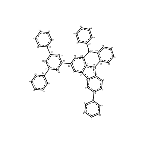 c1ccc(-c2ccc3c(c2)c2cc(-c4nc(-c5ccccc5)nc(-c5ccccc5)n4)cc4c2n3-c2ccccc2N4c2ccccc2)cc1